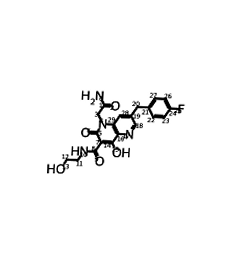 NC(=O)Cn1c(=O)c(C(=O)NCCO)c(O)c2ncc(Cc3ccc(F)cc3)cc21